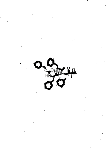 C=C(N[C@@H](Cc1ccccc1)C(=O)[C@@]1(C)CO1)[C@H](Cc1ccccc1)NC(=O)[C@@H](Cc1ccccc1)NC(=O)OCc1ccccc1